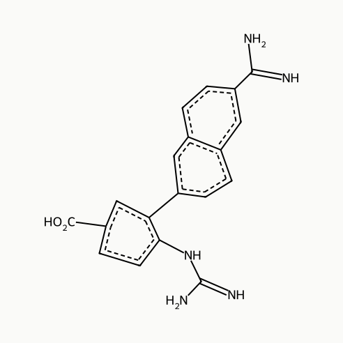 N=C(N)Nc1ccc(C(=O)O)cc1-c1ccc2cc(C(=N)N)ccc2c1